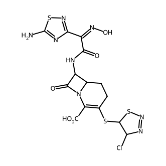 Nc1nc(/C(=N/O)C(=O)NC2C(=O)N3C(C(=O)O)=C(SC4SN=NC4Cl)CCC23)ns1